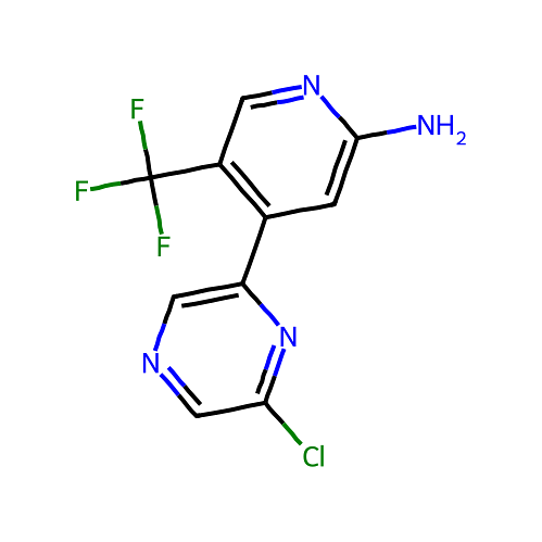 Nc1cc(-c2cncc(Cl)n2)c(C(F)(F)F)cn1